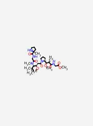 CC[C@H](C)[C@@H]([C@@H](CC(=O)N1CCC[C@H]1[C@H](OC)[C@@H](C)C(=O)NCC(=O)OC)OC)N(C)C(=O)CNC(=O)[C@]1(C)CCCN1